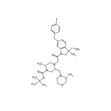 CC1CN(CC(=O)N2CC(C)(CO)c3ccc(Cc4ccc(F)cc4)cc32)C(CN2CCOC[C@H]2C)CN1C(=O)OC(C)(C)C